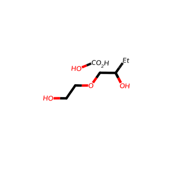 CCC(O)COCCO.O=C(O)O